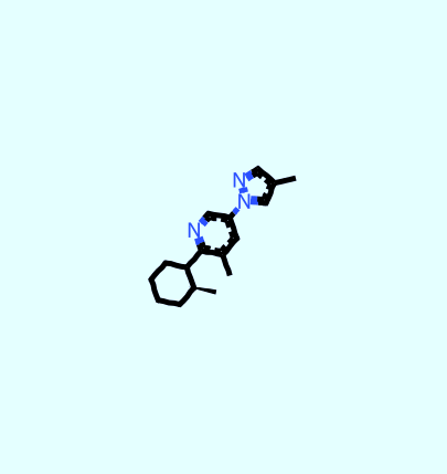 Cc1cnn(-c2cnc(C3CCCC[C@@H]3C)c(C)c2)c1